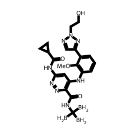 BC(B)(B)NC(=O)c1nnc(NC(=O)C2CC2)cc1Nc1cccc(-c2cnn(CCO)n2)c1OC